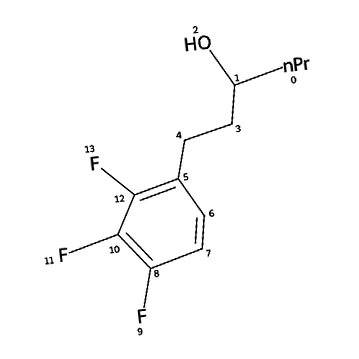 CCCC(O)CCc1ccc(F)c(F)c1F